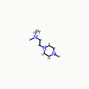 CC(C)N(C)CCN1CCN(C)CC1